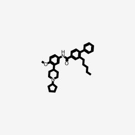 CCCCCc1cc(C(=O)Nc2ccc(OC)c(C3CCN(C4CCCC4)CC3)c2)ccc1-c1ccccc1